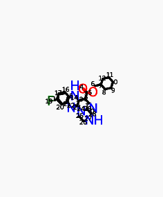 N#CC(C(=O)OCC1CCCCC1)C1Nc2ccc(F)cc2N=C1N1CCNCC1